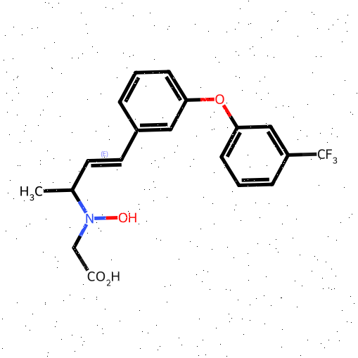 CC(/C=C/c1cccc(Oc2cccc(C(F)(F)F)c2)c1)N(O)CC(=O)O